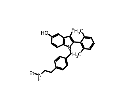 CCNCCc1ccc(Cn2c(-c3c(C)cccc3C)c(F)c3cc(O)ccc32)cc1